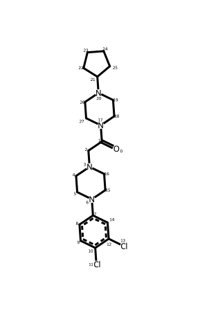 O=C(CN1CCN(c2ccc(Cl)c(Cl)c2)CC1)N1CCN(C2CCCC2)CC1